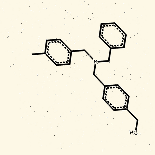 Cc1ccc(CN(Cc2ccccc2)Cc2ccc(CO)cc2)cc1